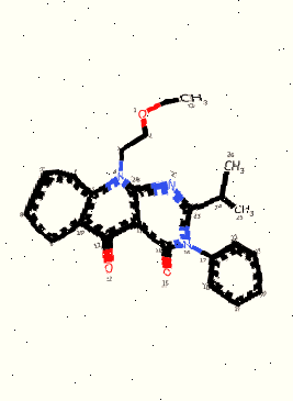 COCCn1c2ccccc2c(=O)c2c(=O)n(-c3ccccc3)c(C(C)C)nc21